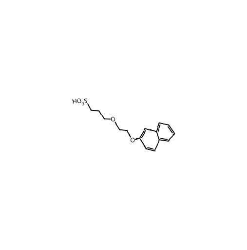 O=S(=O)(O)CCCOCCOc1ccc2ccccc2c1